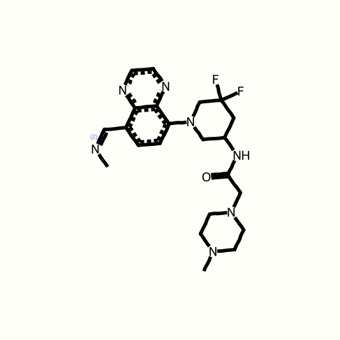 C/N=C\c1ccc(N2CC(NC(=O)CN3CCN(C)CC3)CC(F)(F)C2)c2nccnc12